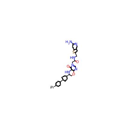 CC(C)c1ccc(-c2ccc([C@@H]3COc4ncn(CC(=O)NCc5cc6cnc(N)cc6s5)c(=O)c4N3)cc2)cc1